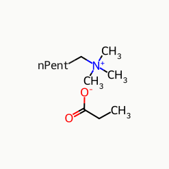 CCC(=O)[O-].CCCCCC[N+](C)(C)C